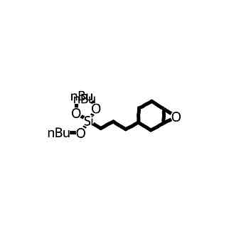 CCCCO[Si](CCCC1CCC2OC2C1)(OCCCC)OCCCC